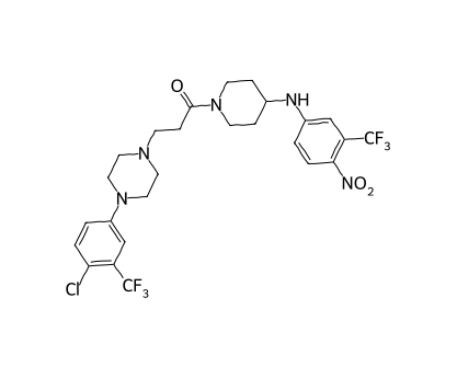 O=C(CCN1CCN(c2ccc(Cl)c(C(F)(F)F)c2)CC1)N1CCC(Nc2ccc([N+](=O)[O-])c(C(F)(F)F)c2)CC1